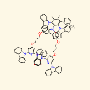 Cc1c(C)c(-n2c3ccccc3c3ccccc32)c(-n2c3ccc(OCCCOc4cc(-n5c6ccccc6c6ccccc65)nc(-n5c6ccccc6c6ccccc65)c4)cc3c3cc(OCCCOc4cc(-n5c6ccccc6c6ccccc65)nc(-n5c6ccccc6c6ccccc65)c4)ccc32)c(-n2c3ccccc3c3ccccc32)c1-c1cccc(C(F)(F)F)c1